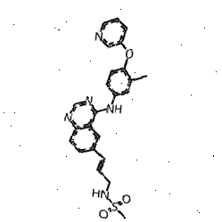 Cc1cc(Nc2ncnc3ccc(/C=C/CNS(C)(=O)=O)cc23)ccc1Oc1cccnc1